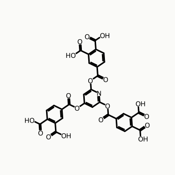 O=C(Oc1cc(OC(=O)c2ccc(C(=O)O)c(C(=O)O)c2)nc(OC(=O)c2ccc(C(=O)O)c(C(=O)O)c2)c1)c1ccc(C(=O)O)c(C(=O)O)c1